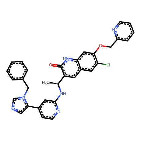 C[C@H](Nc1cc(-c2cncn2Cc2ccccc2)ccn1)c1cc2cc(Cl)c(OCc3ccccn3)cc2[nH]c1=O